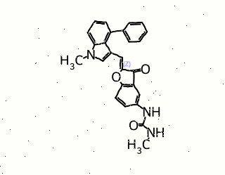 CNC(=O)Nc1ccc2c(c1)C(=O)/C(=C/c1cn(C)c3cccc(-c4ccccc4)c13)O2